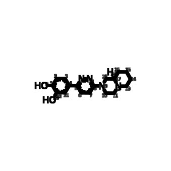 Oc1ccc(-c2ccc(N3CCN4CCCC[C@@H]4C3)nn2)cc1O